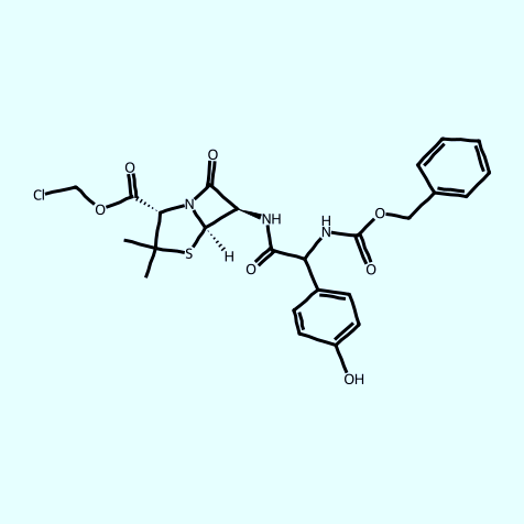 CC1(C)S[C@@H]2[C@H](NC(=O)C(NC(=O)OCc3ccccc3)c3ccc(O)cc3)C(=O)N2[C@H]1C(=O)OCCl